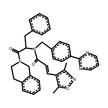 Cc1noc(C)c1C=CC(=O)N(Cc1ccc(-c2ncccn2)cc1)C(Cc1ccccc1)C(=O)N1CCc2ccccc2C1